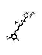 CC(C)OC(O[SiH2]CCCCc1cc(F)c(F)c(F)c1)OC(C)C